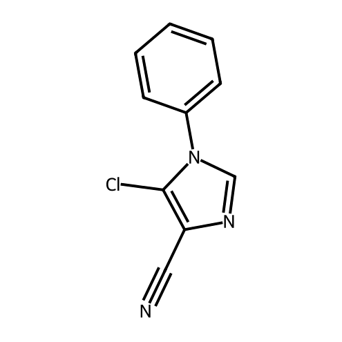 N#Cc1ncn(-c2ccccc2)c1Cl